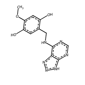 COc1cc(O)c(CNc2ncnc3[nH]nnc23)cc1O